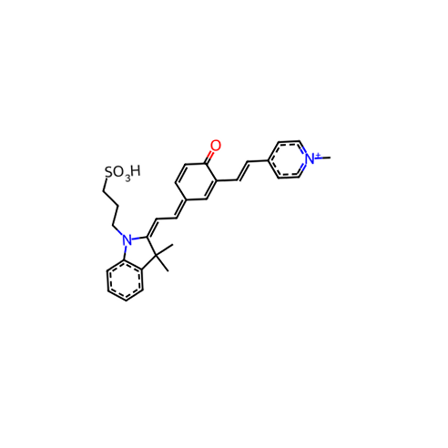 C[n+]1ccc(/C=C/C2=CC(=C/C=C3/N(CCCS(=O)(=O)O)c4ccccc4C3(C)C)/C=CC2=O)cc1